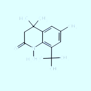 Cc1cc(C(C)(C)C)c2c(c1)C(C)(C)CC(=O)N2C